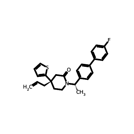 C=CC[C@]1(c2cccs2)CCN([C@@H](C)c2ccc(-c3ccc(F)cc3)cc2)C(=O)C1